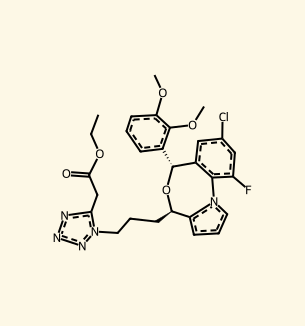 CCOC(=O)Cc1nnnn1CCC[C@H]1O[C@H](c2cccc(OC)c2OC)c2cc(Cl)cc(F)c2-n2cccc21